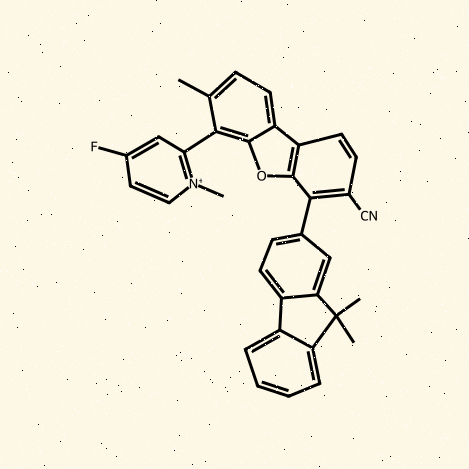 Cc1ccc2c(oc3c(-c4ccc5c(c4)C(C)(C)c4ccccc4-5)c(C#N)ccc32)c1-c1cc(F)cc[n+]1C